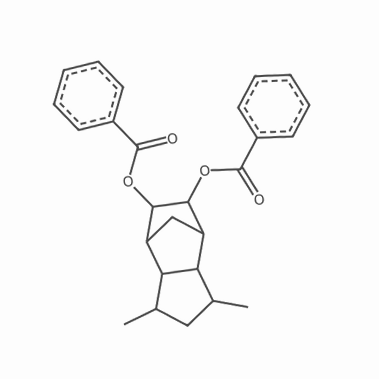 CC1CC(C)C2C3CC(C(OC(=O)c4ccccc4)C3OC(=O)c3ccccc3)C12